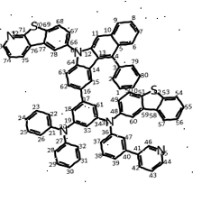 c1ccc(-c2c3ccccc3cc3c2c2cc(-c4cc(N(c5ccccc5)c5ccccc5)cc(N(c5cccc(-c6cccnc6)c5)c5ccc6sc7ccccc7c6c5)c4)ccc2n3-c2ccc3sc4ncccc4c3c2)cc1